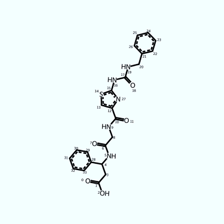 O=C(O)CC(NC(=O)CNC(=O)c1csc(NC(=O)NCc2ccccc2)n1)c1ccccc1